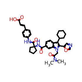 CN(C)C(=O)Cn1c(-c2cnco2)c(C2CCCCC2)c2ccc(C(=O)NC3(C(=O)Nc4ccc(C=CC(=O)O)cc4)CCCC3)cc21